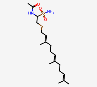 CC(=O)NC(CSC/C=C(\C)CC/C=C(\C)CCC=C(C)C)S(N)(=O)=O